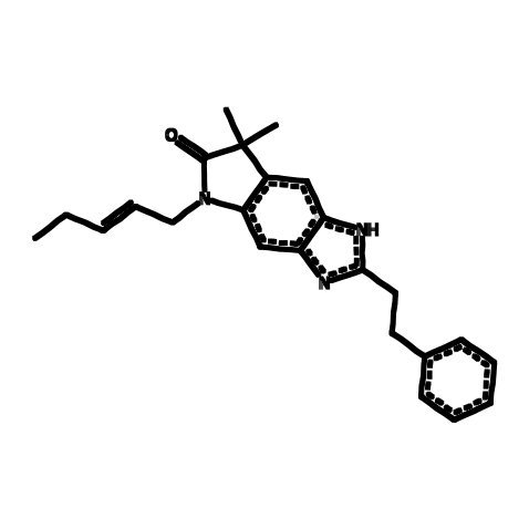 CCC=CCN1C(=O)C(C)(C)c2cc3[nH]c(CCc4ccccc4)nc3cc21